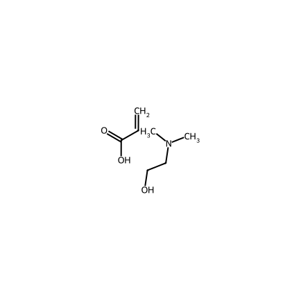 C=CC(=O)O.CN(C)CCO